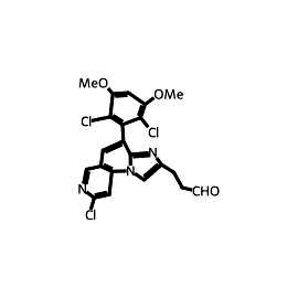 COc1cc(OC)c(Cl)c(-c2cc3cnc(Cl)cc3n3cc(CCC=O)nc23)c1Cl